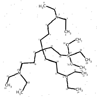 CCN(CC)CCCC(CCCN(CC)CC)(CCCN(CC)CC)CC[Si](CC)(OC)OC